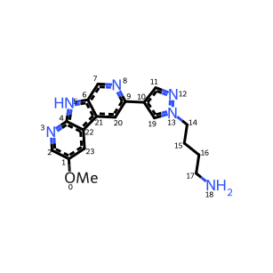 COc1cnc2[nH]c3cnc(-c4cnn(CCCCN)c4)cc3c2c1